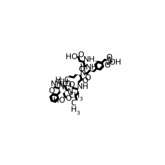 CCCC[C@H](NC(=O)[C@H](Cc1ccc(CS(=O)(=O)O)cc1)NC(=O)[C@H](N)CC(=O)O)C(=O)CN[C@@H](CCCC)C(=O)N(C)[C@H](CC(=O)O)C(=O)N(C)[C@@H](Cc1ccccc1)C(N)=O